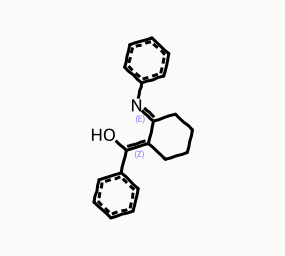 O/C(=C1/CCCC/C1=N\c1ccccc1)c1ccccc1